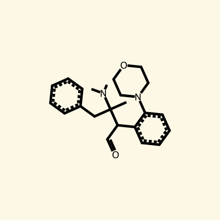 CN(C)C(C)(Cc1ccccc1)C(C=O)c1ccccc1N1CCOCC1